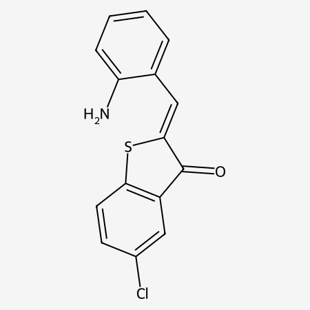 Nc1ccccc1C=C1Sc2ccc(Cl)cc2C1=O